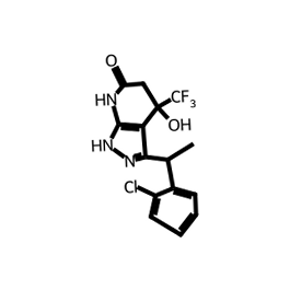 CC(c1ccccc1Cl)c1n[nH]c2c1C(O)(C(F)(F)F)CC(=O)N2